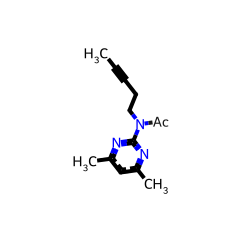 CC#CCCN(C(C)=O)c1nc(C)cc(C)n1